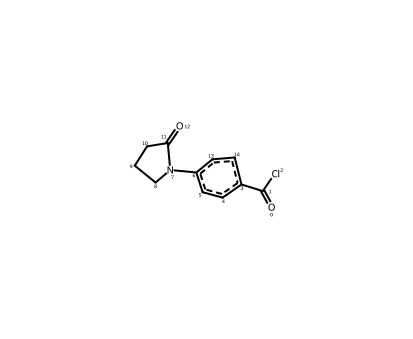 O=C(Cl)c1ccc(N2CCCC2=O)cc1